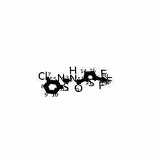 O=C(Nc1nc2c(Cl)cccc2s1)c1ccc(C(F)(F)F)s1